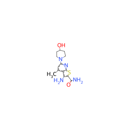 Cc1cc(N2CCC(O)CC2)nc2sc(C(N)=O)c(N)c12